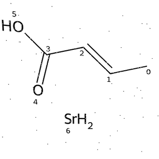 CC=CC(=O)O.[SrH2]